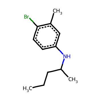 CCCC(C)Nc1ccc(Br)c(C)c1